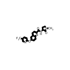 CN1CCC(NC(=O)c2ccc3cc(Oc4ccc(C(F)(F)F)cn4)ccc3n2)C1=O